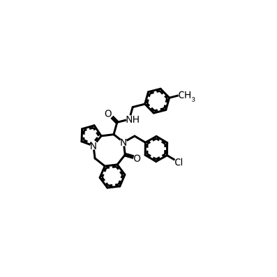 Cc1ccc(CNC(=O)C2c3cccn3Cc3ccccc3C(=O)N2Cc2ccc(Cl)cc2)cc1